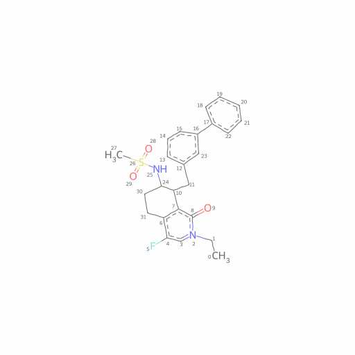 CCn1cc(F)c2c(c1=O)C(Cc1cccc(-c3ccccc3)c1)C(NS(C)(=O)=O)CC2